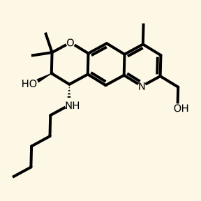 CCCCCN[C@H]1c2cc3nc(CO)cc(C)c3cc2OC(C)(C)[C@@H]1O